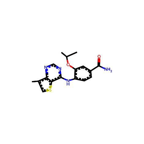 Cc1csc2c(Nc3ccc(C(N)=O)cc3OC(C)C)ncnc12